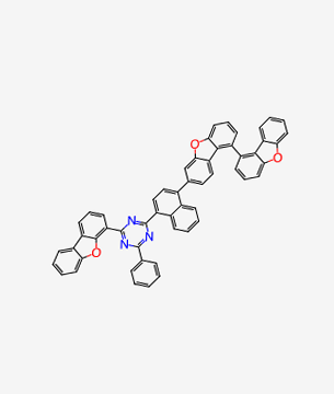 c1ccc(-c2nc(-c3ccc(-c4ccc5c(c4)oc4cccc(-c6cccc7oc8ccccc8c67)c45)c4ccccc34)nc(-c3cccc4c3oc3ccccc34)n2)cc1